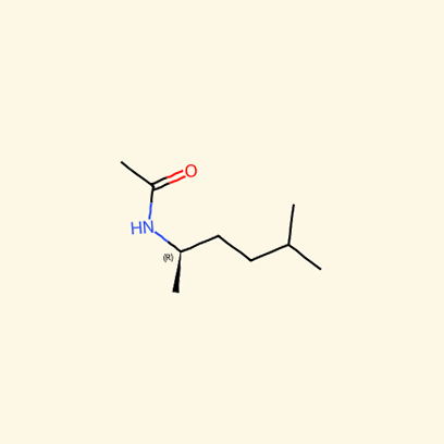 CC(=O)N[C@H](C)CCC(C)C